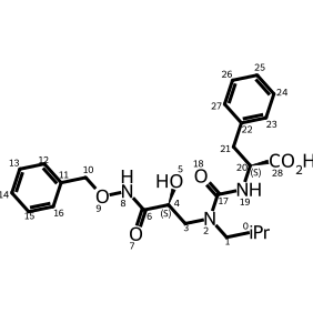 CC(C)CN(C[C@H](O)C(=O)NOCc1ccccc1)C(=O)N[C@@H](Cc1ccccc1)C(=O)O